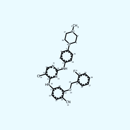 CN1CCN(c2ccc(Nc3ncc(Cl)c(Nc4ccc(C#N)c(OCc5ccccc5F)c4)n3)cc2)CC1